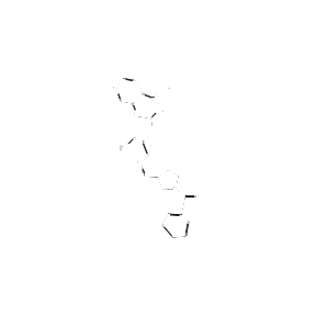 N=C/C(=C\N=C/C1CCN(C(=O)c2ccccc2)C1)Oc1nc(O)c2ccncc2n1